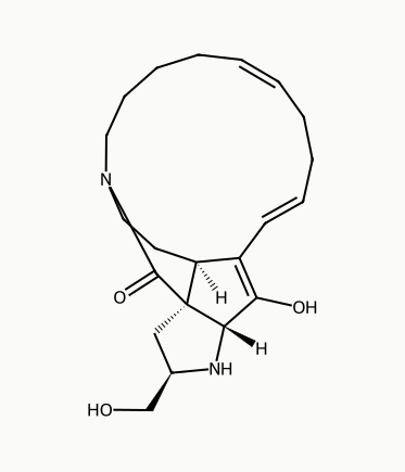 O=C1N2CCCC/C=C\CC/C=C/C3=C(O)[C@@H]4N[C@@H](CO)C[C@@]14[C@H]3CC2